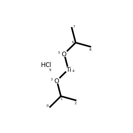 CC(C)[O][Ti][O]C(C)C.Cl